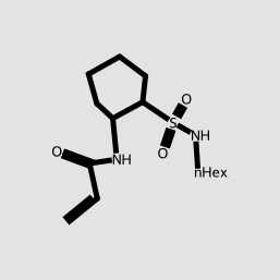 C=CC(=O)NC1CCCCC1S(=O)(=O)NCCCCCC